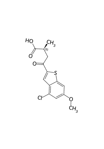 COc1cc(Cl)c2cc(C(=O)C[C@H](C)C(=O)O)sc2c1